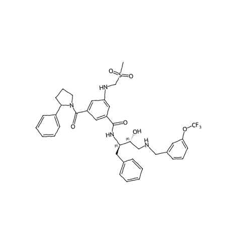 CS(=O)(=O)CNc1cc(C(=O)N[C@H](Cc2ccccc2)[C@H](O)CNCc2cccc(OC(F)(F)F)c2)cc(C(=O)N2CCCC2c2ccccc2)c1